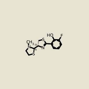 CN1CCS[C@@H]1[C@@H]1CSC(c2cccc(F)c2O)=N1